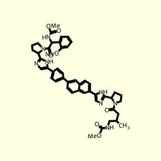 COC(=O)NCC(C)CC(=O)N1CCCC1c1ncc(-c2ccc3cc(-c4ccc(-c5cnc(C6CCCN6C(=O)C(NC(=O)OC)c6ccccc6OC)[nH]5)cc4)ccc3c2)[nH]1